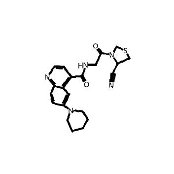 N#CC1CSCN1C(=O)CNC(=O)c1ccnc2ccc(N3CCCCC3)cc12